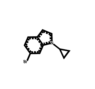 Brc1ccc2ccn(C3CC3)c2c1